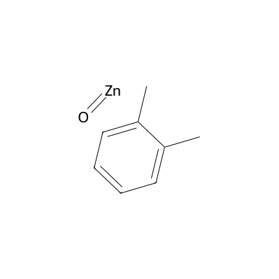 Cc1ccccc1C.[O]=[Zn]